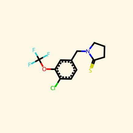 FC(F)(F)Oc1cc(CN2CCCC2=S)ccc1Cl